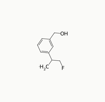 [CH2]C(CF)c1cccc(CO)c1